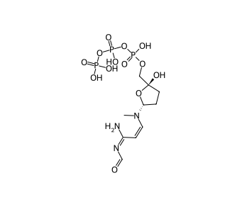 CN(/C=C\C(N)=N/C=O)[C@H]1CC[C@@](O)(COP(=O)(O)OP(=O)(O)OP(=O)(O)O)O1